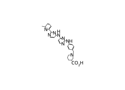 Cc1cccc(-c2nccc(Nc3ccnc(Nc4ccc(CN5CCCC(C(=O)O)C5)cc4)n3)n2)n1